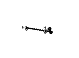 O=C(O)CCCCCCCCCCCCCCCCNC(=O)OCC1C2=C(C=CC=[C+]2)c2ccccc21